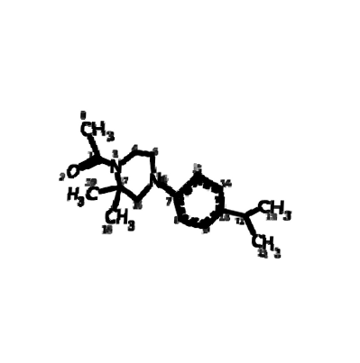 CC(=O)N1CCN(c2ccc(C(C)C)cc2)CC1(C)C